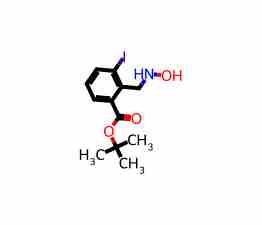 CC(C)(C)OC(=O)c1cccc(I)c1CNO